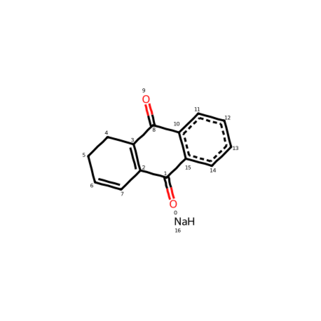 O=C1C2=C(CCC=C2)C(=O)c2ccccc21.[NaH]